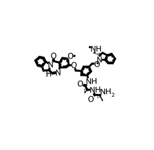 CNC[C@@H]1Cc2ccccc2N1OCc1cc(COc2cc3c(cc2OC)C(=O)N2c4ccccc4C[C@H]2C=N3)cc(NC(=O)[C@H](C)NC(=O)[C@H](C)N)c1